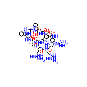 CC(C)[C@H](NC(=O)[C@H](Cc1c[nH]c2ccccc12)NC(=O)[C@H](CCCNC(=N)N)NC(=O)[C@H](CCCNC(=N)N)NC(=O)[C@@H](N)CCCNC(=N)N)C(=O)N[C@@H](Cc1c[nH]c2ccccc12)C(=O)N[C@H](C(=O)N[C@H](C(=O)N[C@@H](Cc1c[nH]c2ccccc12)C(=O)N[C@@H](Cc1c[nH]c2ccccc12)C(=O)O)C(C)C)C(C)C